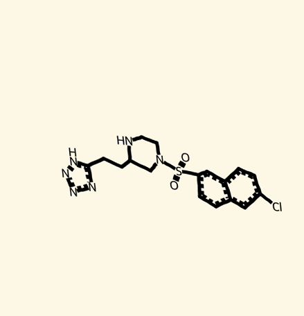 O=S(=O)(c1ccc2cc(Cl)ccc2c1)N1CCNC(CCc2nnn[nH]2)C1